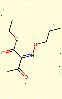 CCCO/N=C(/C(C)=O)C(=O)OCC